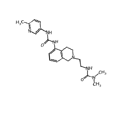 Cc1ccc(NC(=O)Nc2cccc3c2CCN(CCNC(=O)N(C)C)C3)cn1